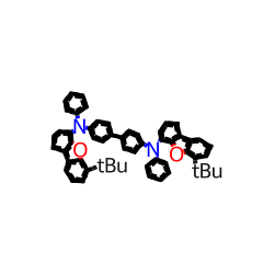 CC(C)(C)c1cccc2c1oc1c(N(c3ccccc3)c3ccc(-c4ccc(N(c5ccccc5)c5cccc6c5oc5c(C(C)(C)C)cccc56)cc4)cc3)cccc12